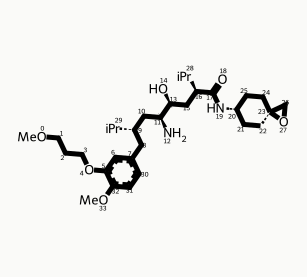 COCCCOc1cc(C[C@@H](C[C@H](N)[C@@H](O)C[C@H](C(=O)N[C@H]2CC[C@]3(CC2)CO3)C(C)C)C(C)C)ccc1OC